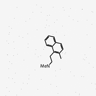 CNCCc1c(C)ccc2ccccc12